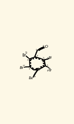 O=Cc1c(Br)c(Br)c(Br)c(Br)c1Br